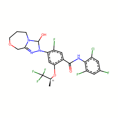 C[C@H](Oc1cc(N2N=C3COCCCN3C2O)c(F)cc1C(=O)Nc1c(F)cc(F)cc1Cl)C(F)(F)F